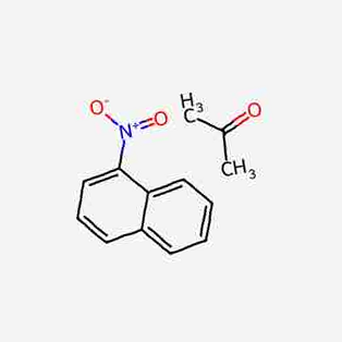 CC(C)=O.O=[N+]([O-])c1cccc2ccccc12